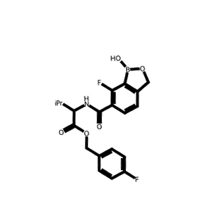 CC(C)C(NC(=O)c1ccc2c(c1F)B(O)OC2)C(=O)OCc1ccc(F)cc1